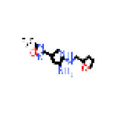 Nc1cc(-c2noc(C(F)(F)F)n2)cnc1NCC1CCCO1